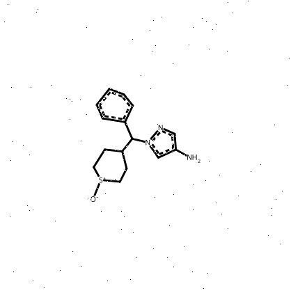 Nc1cnn(C(c2ccccc2)C2CC[S+]([O-])CC2)c1